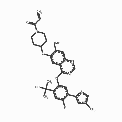 C=CC(=O)N1CCC(Oc2cc3c(Nc4cc(-c5cc(C)cs5)c(F)cc4C(C)(C)O)ncnc3cc2OC)CC1